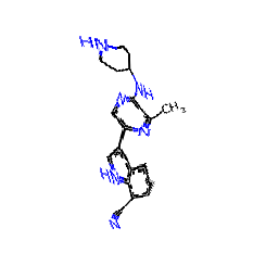 Cc1nc(-c2c[nH]c3c(C#N)cccc23)cnc1NC1CCNCC1